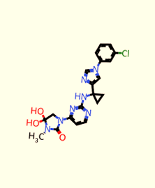 CN1C(=O)N(c2ccnc(NC3(c4cn(-c5cccc(Cl)c5)cn4)CC3)n2)CC1(O)O